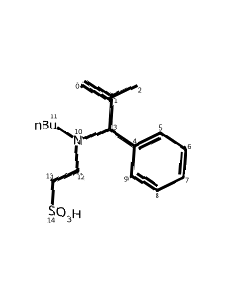 C=C(C)C(c1ccccc1)N(CCCC)CCS(=O)(=O)O